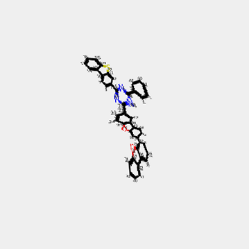 c1ccc(-c2nc(-c3ccc4c(c3)sc3ccccc34)nc(-c3ccc4oc5cc(-c6cccc7c6oc6ccccc67)ccc5c4c3)n2)cc1